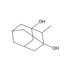 CC1C2(O)CC3CC(C2)CC1(O)C3